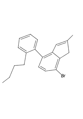 CCCCc1ccccc1-c1ccc(Br)c2c1C=C(C)C2